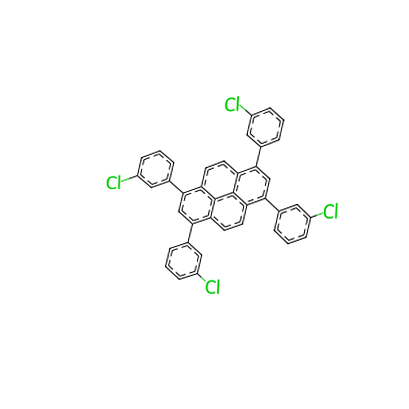 Clc1cccc(-c2cc(-c3cccc(Cl)c3)c3ccc4c(-c5cccc(Cl)c5)cc(-c5cccc(Cl)c5)c5ccc2c3c54)c1